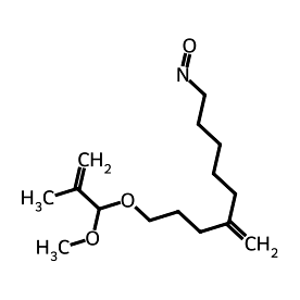 C=C(CCCCCN=O)CCCOC(OC)C(=C)C